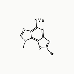 CNc1nc2nc(Br)sc2c2c1ncn2C